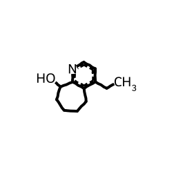 CCc1ccnc2c1CCCCC2O